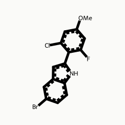 COc1cc(F)c(-c2cc3cc(Br)ccc3[nH]2)c(Cl)c1